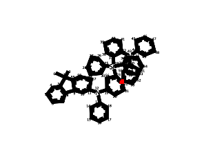 CC1(C)c2ccccc2-c2cc(N(c3ccccc3)c3cccc([Si](c4ccccc4)(c4ccccc4)c4ccccc4N(c4ccccc4)c4ccccc4)c3)ccc21